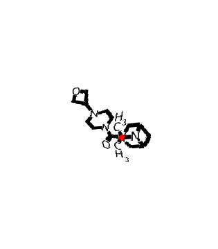 CC(C)N1C2CC1CN(C(=O)N1CCN(C3COC3)CC1)C2